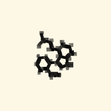 COc1ncccc1-c1c[nH]c2ncnc(/N=C/N(C)C)c12